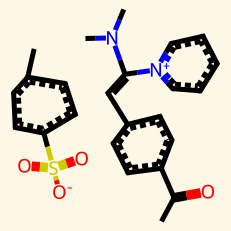 CC(=O)c1ccc(C=C(N(C)C)[n+]2ccccc2)cc1.Cc1ccc(S(=O)(=O)[O-])cc1